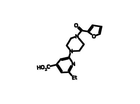 CCc1cc(C(=O)O)cc(N2CCN(C(=O)c3ccco3)CC2)n1